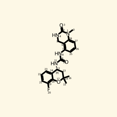 CN1C(=O)NCc2c(NC(=O)N[C@@H]3CC(C)(C)Oc4c(F)cccc43)cccc21